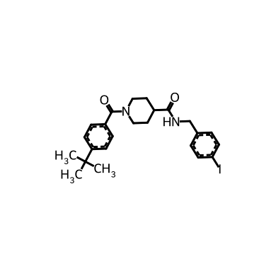 CC(C)(C)c1ccc(C(=O)N2CCC(C(=O)NCc3ccc(I)cc3)CC2)cc1